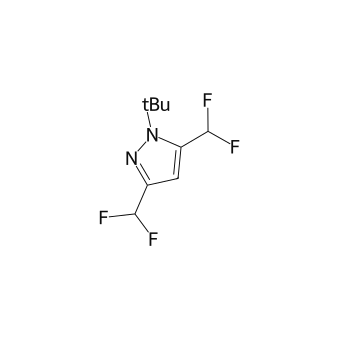 CC(C)(C)n1nc(C(F)F)cc1C(F)F